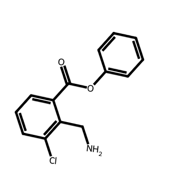 NCc1c(Cl)cccc1C(=O)Oc1ccccc1